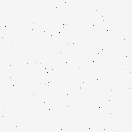 NC(=O)c1sc2nc(N3CCC(N)CC3)cc(-c3cccc([N+](=O)[O-])c3)c2c1N